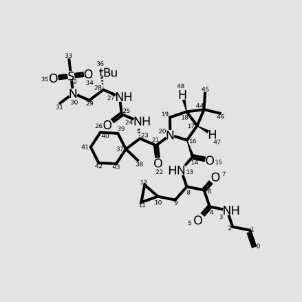 C=CCNC(=O)C(=O)C(CC1CC1)NC(=O)[C@@H]1[C@@H]2[C@H](CN1C(=O)[C@@H](NC(=O)N[C@H](CN(C)S(C)(=O)=O)C(C)(C)C)C1(C)CCCCC1)C2(C)C